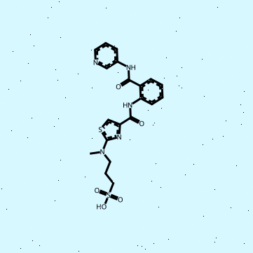 CN(CCCS(=O)(=O)O)c1nc(C(=O)Nc2ccccc2C(=O)Nc2cccnc2)cs1